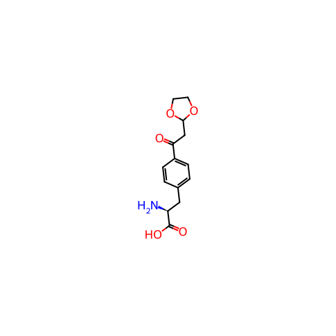 N[C@@H](Cc1ccc(C(=O)CC2OCCO2)cc1)C(=O)O